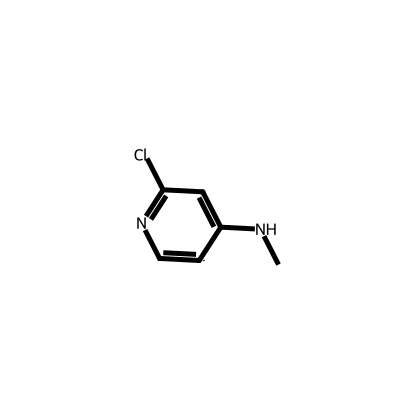 CNc1[c]cnc(Cl)c1